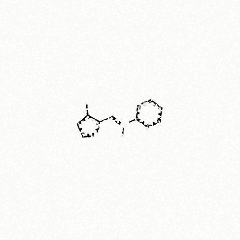 [O-][N+](=Cc1sccc1O)c1ccccc1